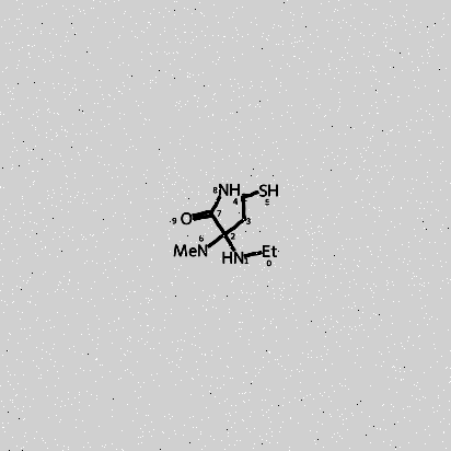 CCNC(CCS)(NC)C(N)=O